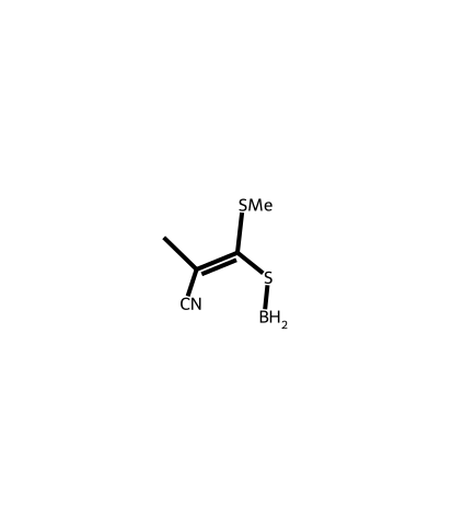 BS/C(SC)=C(/C)C#N